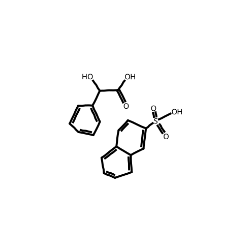 O=C(O)C(O)c1ccccc1.O=S(=O)(O)c1ccc2ccccc2c1